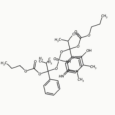 CCCOC(=O)OC(OP(=O)(NC(=N)N(C)C(C)C(=O)O)OC(OC(=O)OCCC)(c1ccccc1)C(C)C)(c1ccccc1)C(C)C